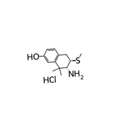 CS[C@@H]1Cc2ccc(O)cc2C(C)(C)[C@H]1N.Cl